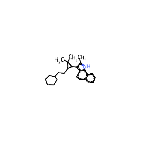 Cc1[nH]c2c(ccc3ccccc32)c1C1C(CCC2CCCCC2)C1(C)C